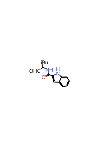 CCC(C)C(C=O)NC(=O)c1cc2ccccc2[nH]1